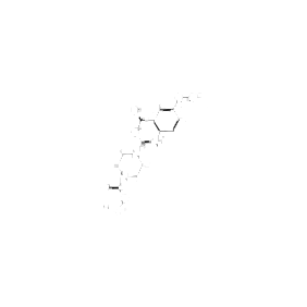 CC(C)(C)OC(=O)N1CCN(c2nc3ccc(OC(F)(F)F)cc3c(=O)o2)CC1